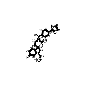 C[C@@H](c1ccc(-c2nccs2)cc1)N1CCC(CCCO)(c2ccc(F)cc2)OC1=O